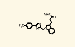 COC(=O)CCc1cn(Cc2nc(-c3ccc(C(F)(F)F)cc3)cs2)c2ccccc12